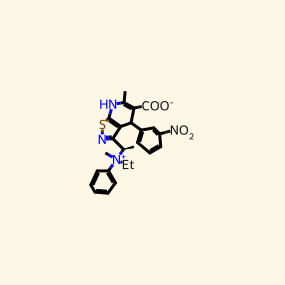 CC[N+](C)(c1ccccc1)[C@H](C)c1nsc2c1C(c1cccc([N+](=O)[O-])c1)C(C(=O)[O-])=C(C)N2